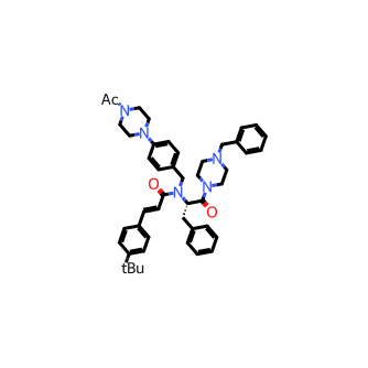 CC(=O)N1CCN(c2ccc(CN(C(=O)/C=C/c3ccc(C(C)(C)C)cc3)[C@@H](Cc3ccccc3)C(=O)N3CCN(Cc4ccccc4)CC3)cc2)CC1